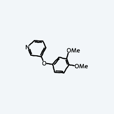 COc1ccc(Oc2cccnc2)cc1OC